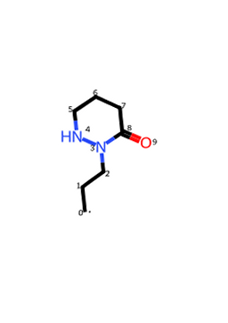 [CH2]CCN1NCCCC1=O